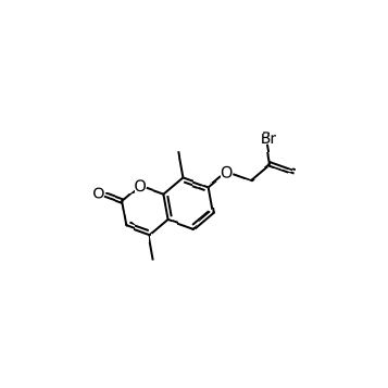 C=C(Br)COc1ccc2c(C)cc(=O)oc2c1C